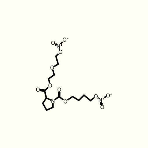 O=C(OCCOCCO[N+](=O)[O-])C1CCCN1C(=O)OCCCCO[N+](=O)[O-]